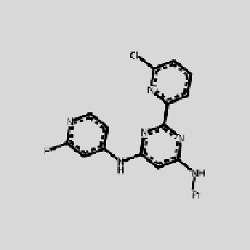 CC(C)Nc1cc(Nc2ccnc(F)c2)nc(-c2cccc(Cl)n2)n1